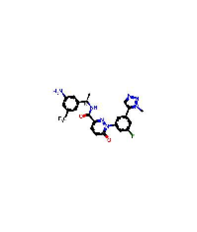 C[C@@H](NC(=O)c1ccc(=O)n(-c2cc(F)cc(-c3cnnn3C)c2)n1)c1cc(N)cc(C(F)(F)F)c1